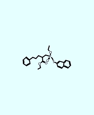 CCOC(=O)C(CCCc1ccccc1)CP(=O)(CSc1ccc2ccccc2c1)OCC